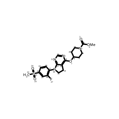 COC(=O)N1CCC(Oc2ncnc3c2CCN3c2ccc(S(C)(=O)=O)cc2F)CC1